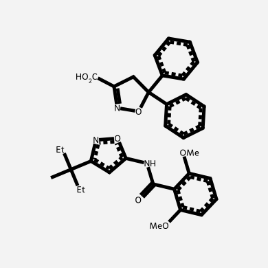 CCC(C)(CC)c1cc(NC(=O)c2c(OC)cccc2OC)on1.O=C(O)C1=NOC(c2ccccc2)(c2ccccc2)C1